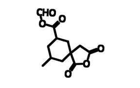 CC1CC(C(=O)OC=O)CC2(CC(=O)OC2=O)C1